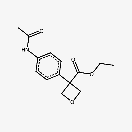 CCOC(=O)C1(c2ccc(NC(C)=O)cc2)COC1